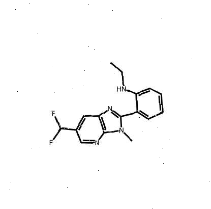 CCNc1ccccc1-c1nc2cc(C(F)F)cnc2n1C